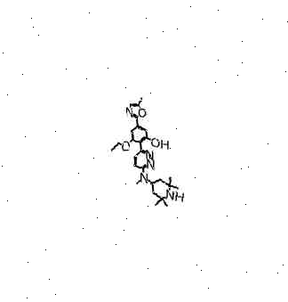 CCOc1cc(-c2ncc(C)o2)cc(O)c1-c1ccc(N(C)C2CC(C)(C)NC(C)(C)C2)nn1